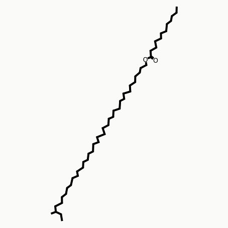 CCCCCCCCCCCC(=O)OCCCCCCCCCCCCCCCCCCCCCCCCCCCCCCCCCCC(C)CC